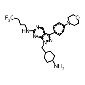 NC1CCC(Cn2nc(-c3ccc(N4CCOCC4)cc3)c3cnc(NCCCC(F)(F)F)nc32)CC1